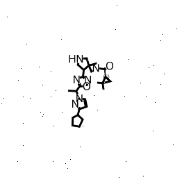 CC(c1nc(C2CNCC23CN(C(=O)[C@H]2CC2(C)C)C3)no1)n1ccc(C2CCCC2)n1